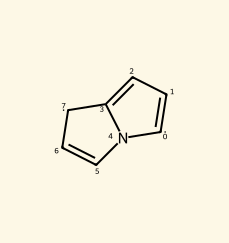 [c]1ccc2n1C=C[CH]2